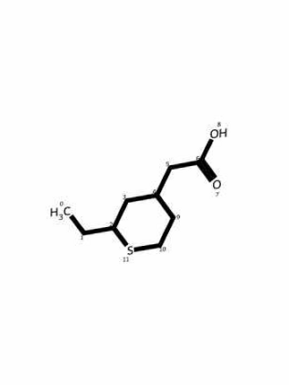 CCC1CC(CC(=O)O)CCS1